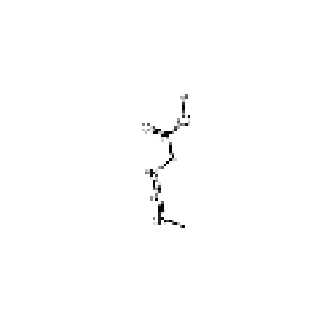 CN=C=NCC(=O)OC